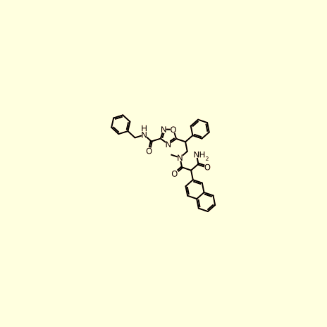 CN(CC(c1ccccc1)c1nc(C(=O)NCc2ccccc2)no1)C(=O)C(C(N)=O)c1ccc2ccccc2c1